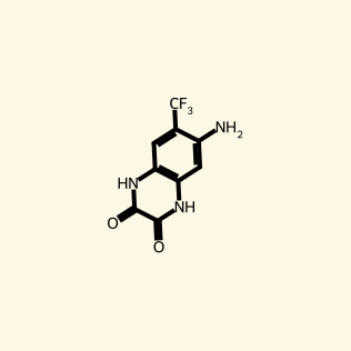 Nc1cc2[nH]c(=O)c(=O)[nH]c2cc1C(F)(F)F